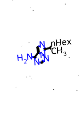 CCCCCCC(C)c1ncc2c(N)ncnn12